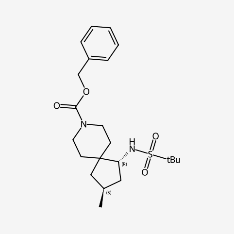 C[C@@H]1C[C@@H](NS(=O)(=O)C(C)(C)C)C2(CCN(C(=O)OCc3ccccc3)CC2)C1